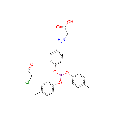 Cc1ccc(OP(Oc2ccc(C)cc2)Oc2ccc(C)cc2)cc1.NCC(=O)O.O=CCCl